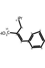 CC(C)CC(=Cc1ccccc1)C(=O)O